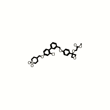 COC(=O)COC1(c2ccc(OCc3cccc(-c4ccc(OCC5CCS(=O)(=O)CC5)cc4Cl)c3)cc2)COC1